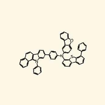 c1ccc(-c2cccc3c2sc2c(N(c4ccc(-c5ccc6c7ccc8ccccc8c7n(-c7ccccc7)c6c5)cc4)c4ccc5oc6ccccc6c5c4)cccc23)cc1